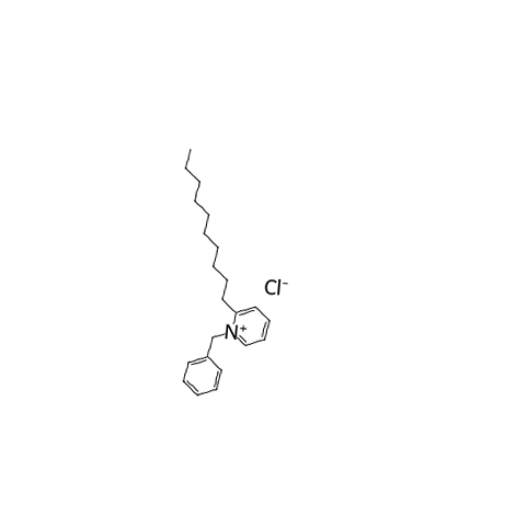 CCCCCCCCCCc1cccc[n+]1Cc1ccccc1.[Cl-]